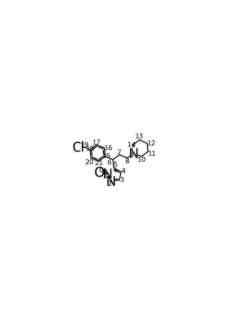 O=[N+]1N=CC=C1C(CCN1CCCCC1)c1ccc(Cl)cc1